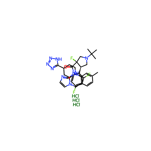 Cc1ccc(Cn2ccnc2NC(=O)[C@]2(F)CN(C(C)(C)C)C[C@H]2c2ccc(F)cc2F)c(N2CCC(c3nnn[nH]3)CC2)c1.Cl.Cl.Cl